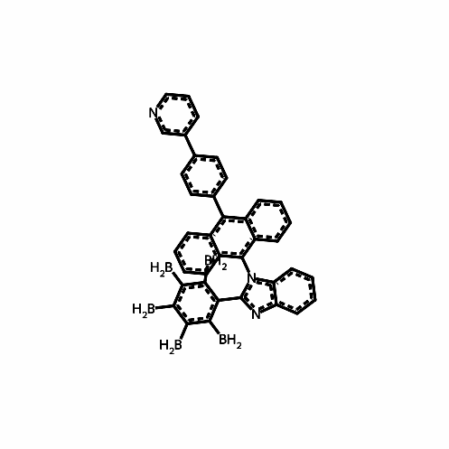 Bc1c(B)c(B)c(-c2nc3ccccc3n2-c2c3ccccc3c(-c3ccc(-c4cccnc4)cc3)c3ccccc23)c(B)c1B